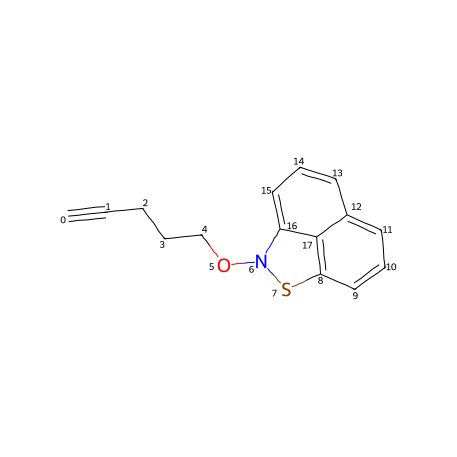 C#CCCCON1Sc2cccc3cccc1c23